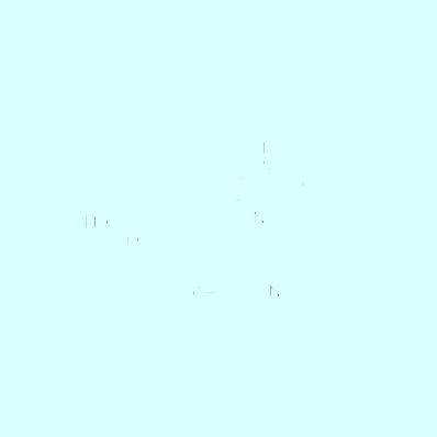 COc1ccc(C(=O)N(C/C(C)=C/c2ccccc2)C[C@@H]2CCCN2C2CCCCC2)cc1OC